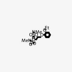 CCOc1ccccc1OCC(COS(=O)(=O)NC)OS(=O)(=O)NC